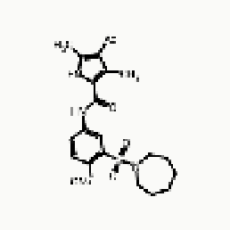 COc1ccc(NC(=O)c2[nH]c(C)c(C(C)=O)c2C)cc1S(=O)(=O)N1CCCCCC1